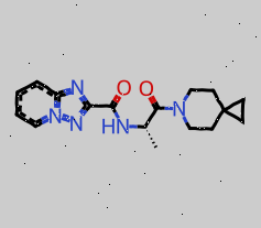 C[C@H](NC(=O)c1nc2ccccn2n1)C(=O)N1CCC2(CC1)CC2